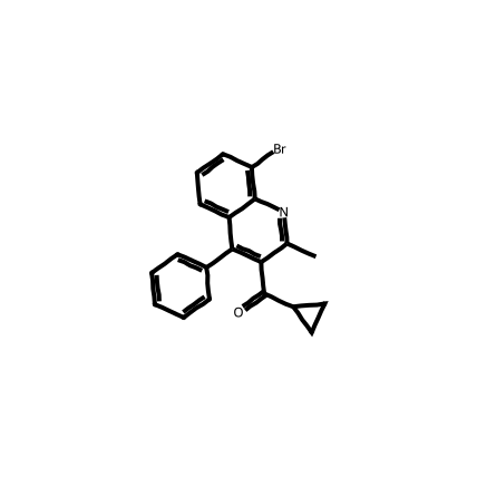 Cc1nc2c(Br)cccc2c(-c2ccccc2)c1C(=O)C1CC1